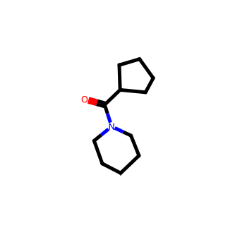 O=C(C1CCCC1)N1CC[CH]CC1